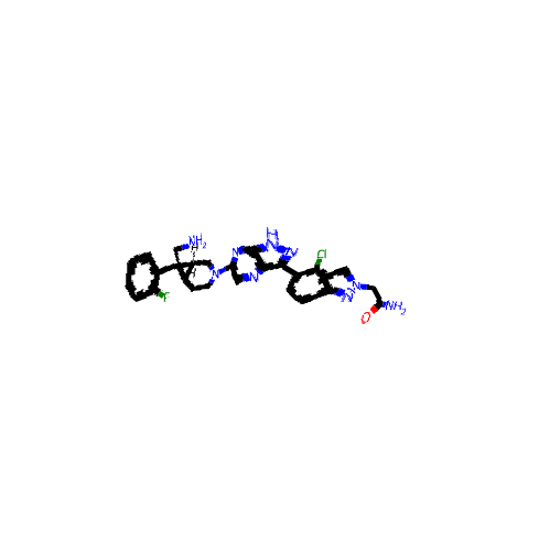 NC[C@]1(c2ccccc2F)[C@@H]2CCN(c3cnc4c(-c5ccc6nn(CC(N)=O)cc6c5Cl)n[nH]c4n3)C[C@@H]21